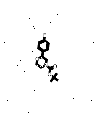 CC(C)(C)OC(=O)N1CCOC(c2ccc(F)cc2)C1